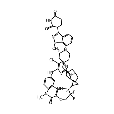 Cn1nc(C2CCC(=O)NC2=O)c2cccc(N3CCC(CN4CC5CCC(C4)N5c4ncc(Cl)c(Nc5ccc6c(c5)c5c(c(=O)n6C)OCC(F)(F)[C@H](C6CC6)N5)n4)CC3)c21